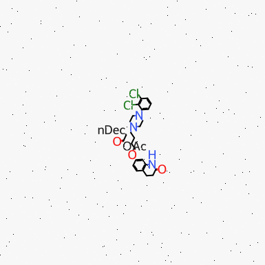 CCCCCCCCCCCC(=O)OC(C)=O.O=C1CCc2ccc(OCCCCN3CCN(c4cccc(Cl)c4Cl)CC3)cc2N1